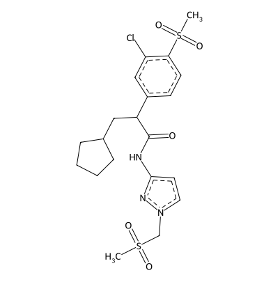 CS(=O)(=O)Cn1ccc(NC(=O)C(CC2CCCC2)c2ccc(S(C)(=O)=O)c(Cl)c2)n1